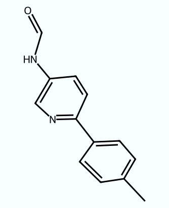 Cc1ccc(-c2ccc(NC=O)cn2)cc1